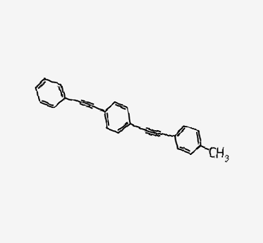 Cc1ccc(C#Cc2ccc(C#Cc3ccccc3)cc2)cc1